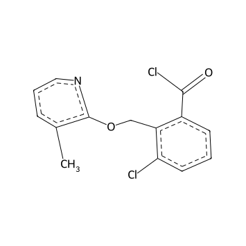 Cc1cccnc1OCc1c(Cl)cccc1C(=O)Cl